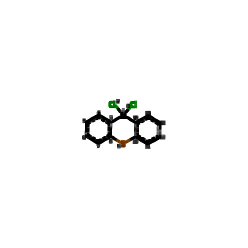 Cl[Si]1(Cl)c2ccccc2Sc2ccccc21